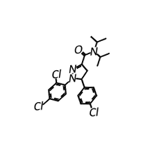 CC(C)N(C(=O)C1=NN(c2ccc(Cl)cc2Cl)C(c2ccc(Cl)cc2)C1)C(C)C